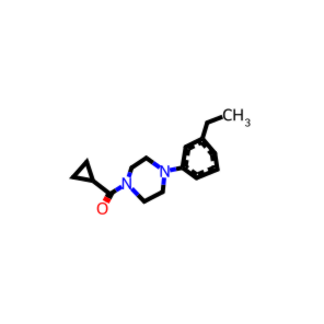 CCc1cccc(N2CCN(C(=O)C3CC3)CC2)c1